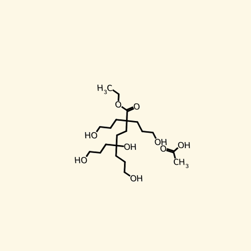 CC(=O)O.CCOC(=O)C(CCCO)(CCCO)CCC(O)(CCCO)CCCO